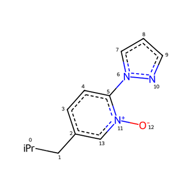 CC(C)Cc1ccc(-n2cccn2)[n+]([O-])c1